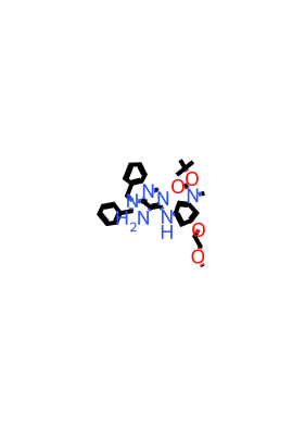 COCCOc1cc(Nc2ncnc(N(Cc3ccccc3)Cc3ccccc3)c2N)cc(N(C)C(=O)OC(C)(C)C)c1